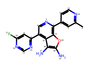 Cc1cc(-c2ncc(-c3cc(F)ncn3)c3c(N)c(N)oc23)ccn1